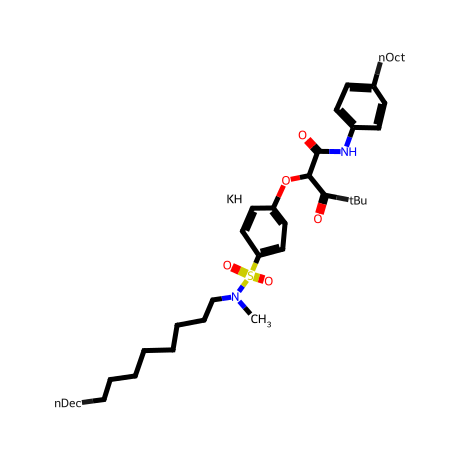 CCCCCCCCCCCCCCCCCCN(C)S(=O)(=O)c1ccc(OC(C(=O)Nc2ccc(CCCCCCCC)cc2)C(=O)C(C)(C)C)cc1.[KH]